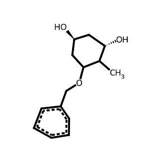 CC1C(OCc2ccccc2)C[C@@H](O)C[C@@H]1O